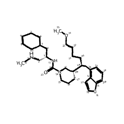 CNC[C@H](CC1CCCCC1)NC(=O)N1CCC[C@@H]([C@@H](CCCCOC)c2cccc3occc23)C1